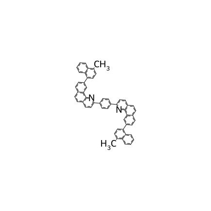 Cc1ccc(-c2ccc3ccc4ccc(-c5ccc(-c6ccc7ccc8ccc(-c9ccc(C)c%10ccccc9%10)cc8c7n6)cc5)nc4c3c2)c2ccccc12